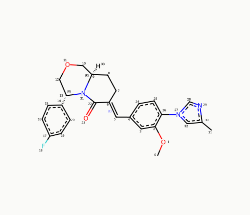 COc1cc(/C=C2\CC[C@@H]3COC[C@@H](c4ccc(F)cc4)N3C2=O)ccc1-n1cnc(C)c1